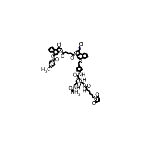 CN1CCN(C(=O)Oc2cc3c(c4ccccc24)[C@H](Cl)CN3C(=O)CCCC(=O)N2CC(/C=C/Cl)c3c2cc(OCc2ccc(NC(=O)[C@H](CCCNC(N)=O)NC(=O)CNC(=O)CCCCCN4C(=O)C=CC4=O)cc2)c2ccccc32)CC1